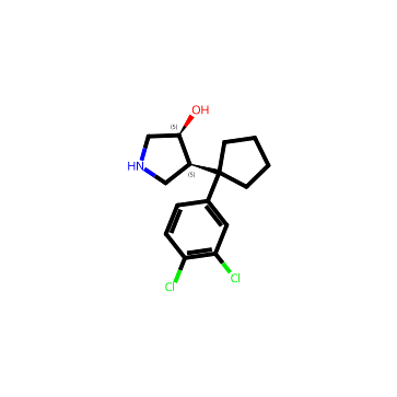 O[C@@H]1CNC[C@@H]1C1(c2ccc(Cl)c(Cl)c2)CCCC1